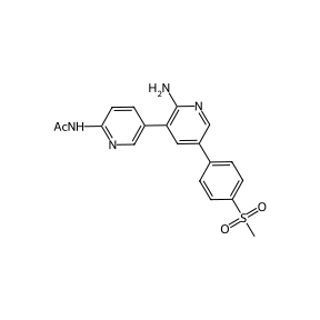 CC(=O)Nc1ccc(-c2cc(-c3ccc(S(C)(=O)=O)cc3)cnc2N)cn1